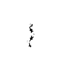 Cn1nc(CC2CC3(C2)CN(C(=O)N2CC4(CC(c5nc(C6COC6)n[nH]5)C4)C2)C3)cc1C(F)(F)F